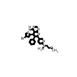 COCCN(C)c1ccc(-c2nc3ncnc(N)c3c(-c3cc(Br)cs3)c2-c2ccccc2)cn1